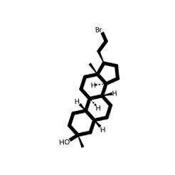 C[C@@]1(O)CC[C@H]2[C@H](CC[C@@H]3[C@@H]2CC[C@]2(C)[C@@H](CCBr)CC[C@@H]32)C1